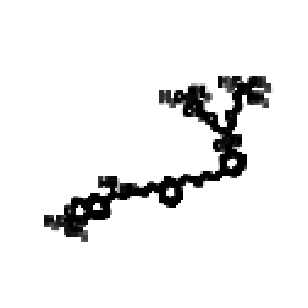 CC1(C)OCc2cc([C@@H](O)CNCCc3cccc(COCCc4cccc(S(=O)(=O)N(COCC[Si](C)(C)C)COCC[Si](C)(C)C)c4)c3)ccc2O1